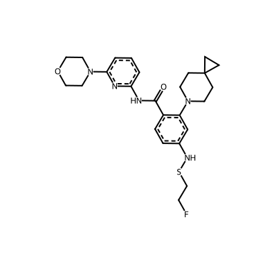 O=C(Nc1cccc(N2CCOCC2)n1)c1ccc(NSCCF)cc1N1CCC2(CC1)CC2